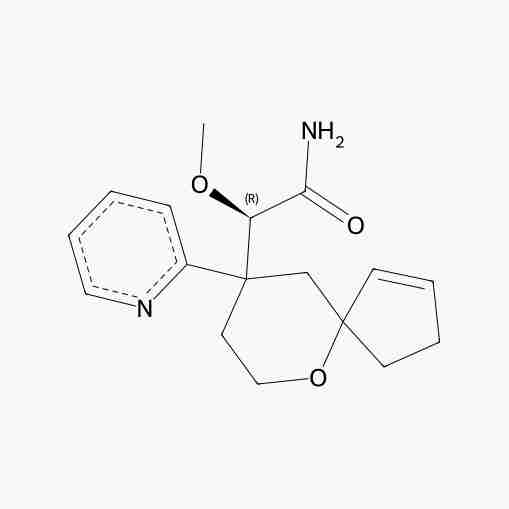 CO[C@@H](C(N)=O)C1(c2ccccn2)CCOC2(C=CCC2)C1